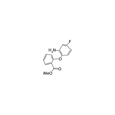 COC(=O)c1ccccc1Oc1ccc(F)cc1N